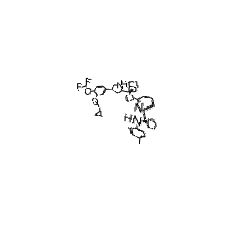 Cc1ccc(NC(=O)c2cccc(OC(=O)C3CC(c4ccc(OC(F)F)c(OCC5CC5)c4)CN3C)n2)cc1.Cl